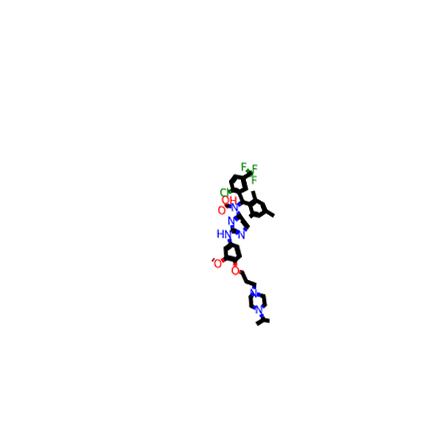 COc1cc(Nc2nccc(N(C(=O)O)C(c3cc(C(F)(F)F)ccc3Cl)c3c(C)cc(C)cc3C)n2)ccc1OCCCN1CCN(C(C)C)CC1